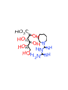 N=C(N)NC(=N)N1CCCCCC1.O=C(O)[C@H](O)[C@@H](O)[C@H](O)[C@H](O)CO